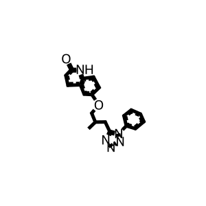 CC(COc1ccc2[nH]c(=O)ccc2c1)Cc1nnnn1-c1ccccc1